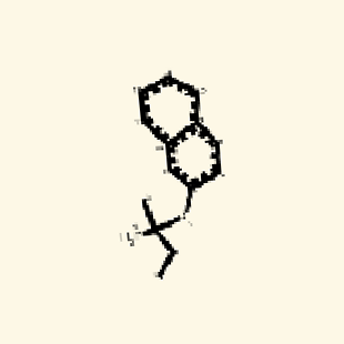 CCC(C)(P)Oc1ccc2ccccc2c1